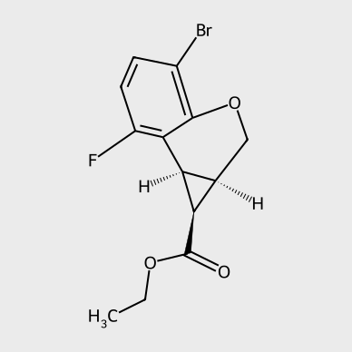 CCOC(=O)[C@@H]1[C@@H]2COc3c(Br)ccc(F)c3[C@@H]21